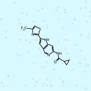 O=C(Nc1cc2[nH]c(-c3nc(C(F)(F)F)cs3)cc2cn1)C1CC1